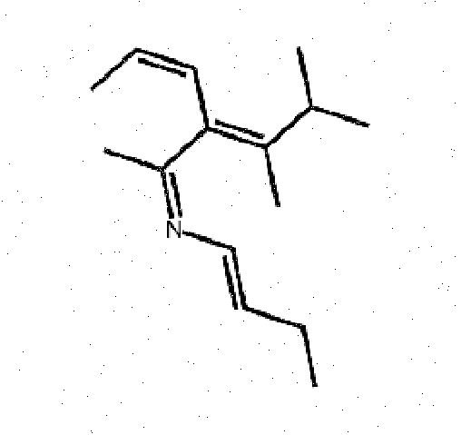 C\C=C/C(C(/C)=N\C=C\CC)=C(/C)C(C)C